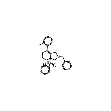 Cc1ccccc1C1=C2CN(Cc3ccccc3)C[C@@]2(C(=O)O)[C@@H](c2ccccc2)CC1